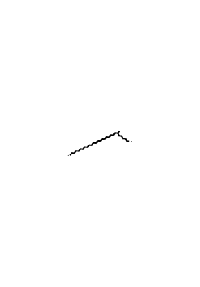 [CH2]CCCCCCCCCCCCCCCCCCCCCC(C)CCCCC[CH2]